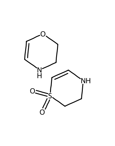 C1=COCCN1.O=S1(=O)C=CNCC1